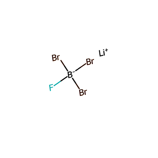 F[B-](Br)(Br)Br.[Li+]